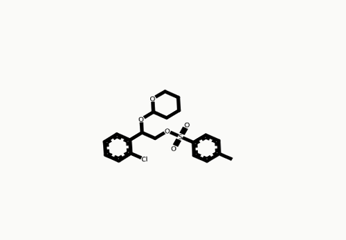 Cc1ccc(S(=O)(=O)OCC(OC2CCCCO2)c2ccccc2Cl)cc1